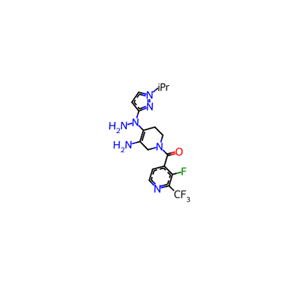 CC(C)n1ccc(N(N)C2=C(N)CN(C(=O)c3ccnc(C(F)(F)F)c3F)CC2)n1